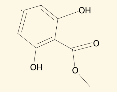 COC(=O)c1c(O)c[c]cc1O